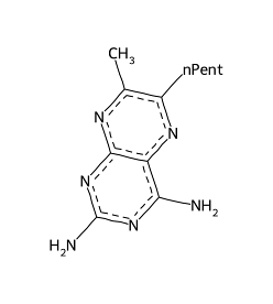 CCCCCc1nc2c(N)nc(N)nc2nc1C